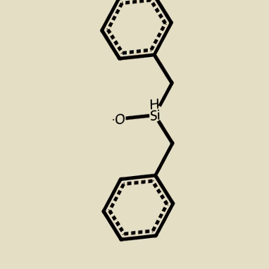 [O][SiH](Cc1ccccc1)Cc1ccccc1